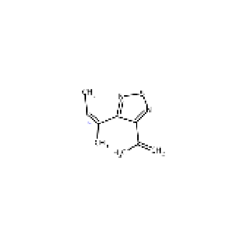 C=C(C)c1nsnc1/C(C)=C\C